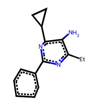 CCc1nc(-c2ccccc2)nc(C2CC2)c1N